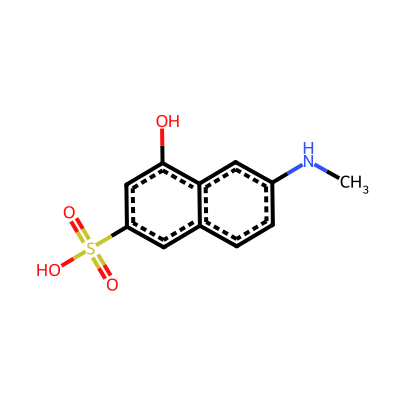 CNc1ccc2cc(S(=O)(=O)O)cc(O)c2c1